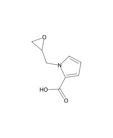 O=C(O)c1cccn1CC1CO1